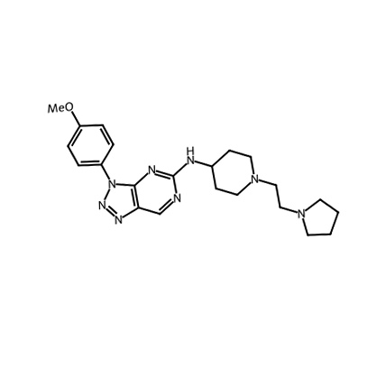 COc1ccc(-n2nnc3cnc(NC4CCN(CCN5CCCC5)CC4)nc32)cc1